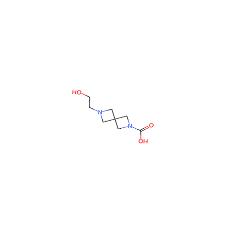 O=C(O)N1CC2(CN(CCO)C2)C1